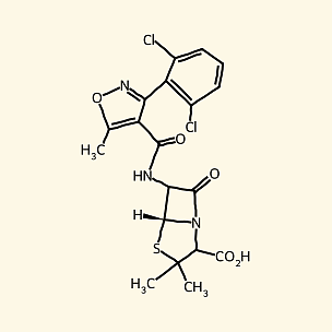 Cc1onc(-c2c(Cl)cccc2Cl)c1C(=O)NC1C(=O)N2C(C(=O)O)C(C)(C)S[C@H]12